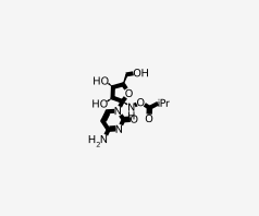 CC(C)C(=O)ON[C@@]1(n2ccc(N)nc2=O)O[C@H](CO)[C@@H](O)[C@H]1O